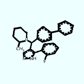 CC1CCCCN1C(c1ccc(-c2ccccc2)cc1)c1cn[nH]c1-c1ccccc1F